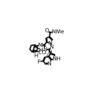 CNC(=O)c1cc2c(N[C@H]3C4CCC(CC4)[C@@H]3C(=O)O)nc(-c3c[nH]c4ncc(F)cc34)nn2c1